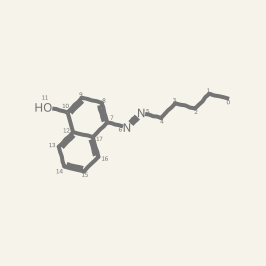 CCCCCN=Nc1ccc(O)c2ccccc12